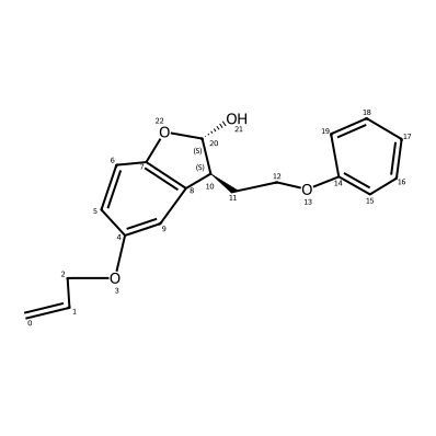 C=CCOc1ccc2c(c1)[C@H](CCOc1ccccc1)[C@@H](O)O2